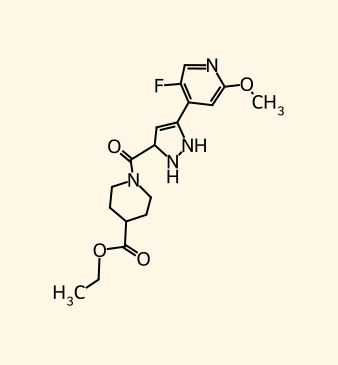 CCOC(=O)C1CCN(C(=O)C2C=C(c3cc(OC)ncc3F)NN2)CC1